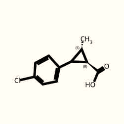 C[C@H]1C(c2ccc(Cl)cc2)[C@@H]1C(=O)O